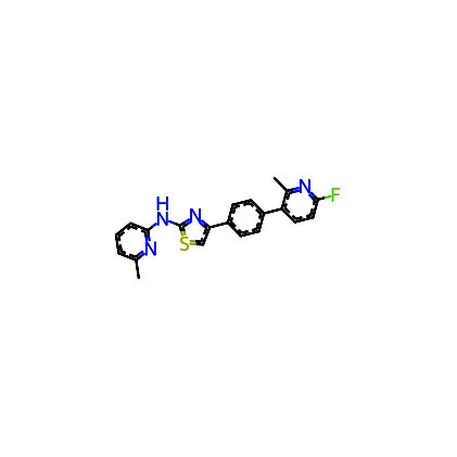 Cc1cccc(Nc2nc(-c3ccc(-c4ccc(F)nc4C)cc3)cs2)n1